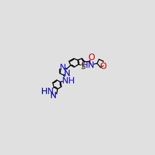 O=C(NC1CCOC1)c1cc2ccc(-c3nccc(Nc4ccc5[nH]ncc5c4)n3)cc2s1